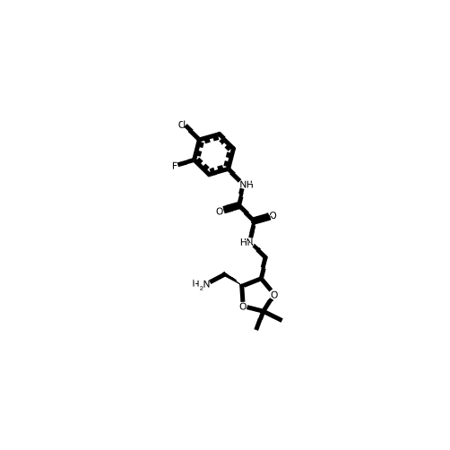 CC1(C)OC(CNC(=O)C(=O)Nc2ccc(Cl)c(F)c2)[C@H](CN)O1